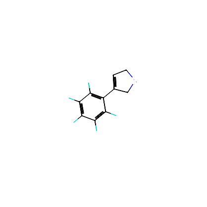 Fc1c(F)c(F)c(C2=CCNC2)c(F)c1F